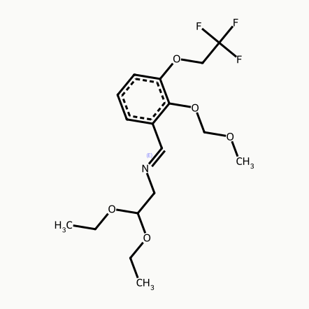 CCOC(C/N=C/c1cccc(OCC(F)(F)F)c1OCOC)OCC